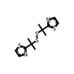 CC(C)(SSC(C)(C)c1nccs1)c1nccs1